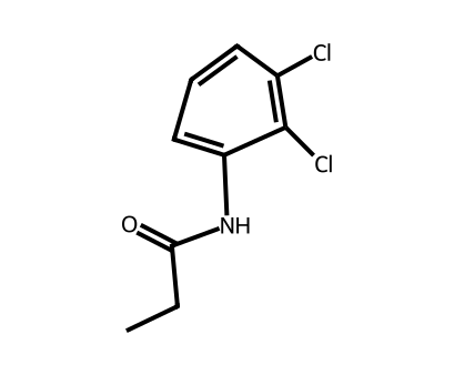 CCC(=O)Nc1cccc(Cl)c1Cl